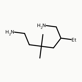 CCC(CN)CC(C)(C)CCN